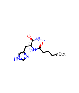 CCCCCCCCCCCCCC(=O)N[C@@H](Cc1c[nH]cn1)C(N)=O